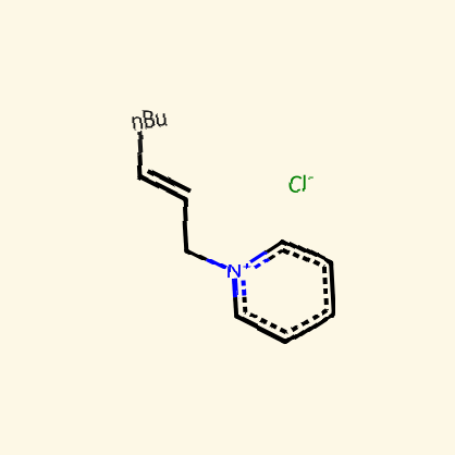 CCCCC=CC[n+]1ccccc1.[Cl-]